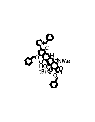 CN[C@@H]1c2onc(OCc3ccccc3)c2C(=O)[C@@]2(O[Si](C)(C)C(C)(C)C)C(O)=C3C(=O)c4c(OCc5ccccc5)cc(C5CCCN5Cc5ccccc5)c(Cl)c4C[C@H]3C[C@@H]12